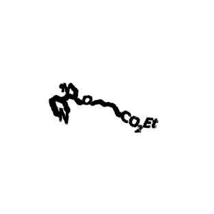 CCOC(=O)CCCCCOCC1CCN(C)C1c1cccnc1